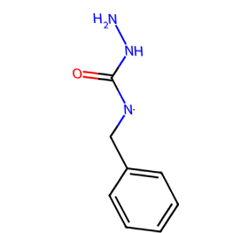 NNC(=O)[N]Cc1ccccc1